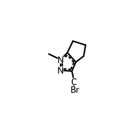 Cn1nc(CBr)c2c1CCC2